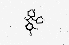 O=C(c1ccc(Cl)c(Cl)c1)C1(CC2CCOCC2)CCNCC1